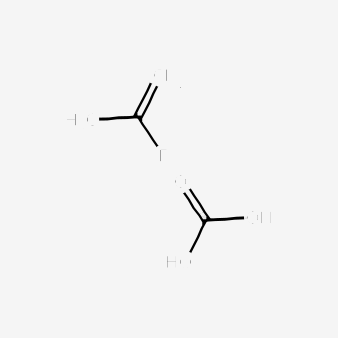 C=C(C)F.O=C(O)O